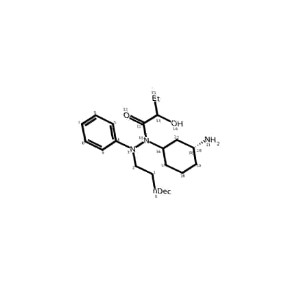 CCCCCCCCCCCCN(c1ccccc1)N(C(=O)C(O)CC)C1CCC[C@@H](N)C1